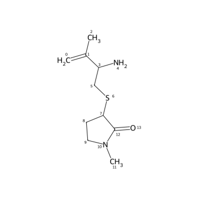 C=C(C)C(N)CSC1CCN(C)C1=O